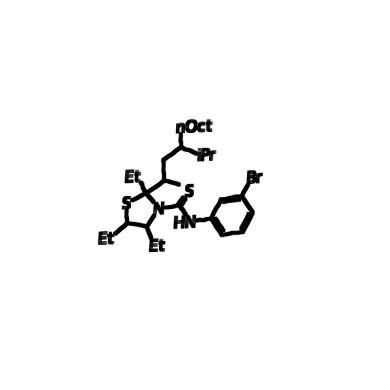 CCCCCCCCC(CC(C)C1(CC)SC(CC)C(CC)N1C(=S)Nc1cccc(Br)c1)C(C)C